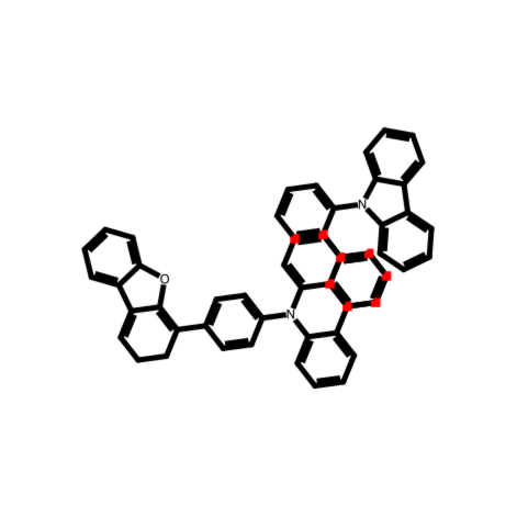 C1=c2c(oc3ccccc23)=C(c2ccc(N(c3ccccc3-c3cccc(-c4ccccc4-n4c5ccccc5c5ccccc54)c3)c3cccc4ccccc34)cc2)CC1